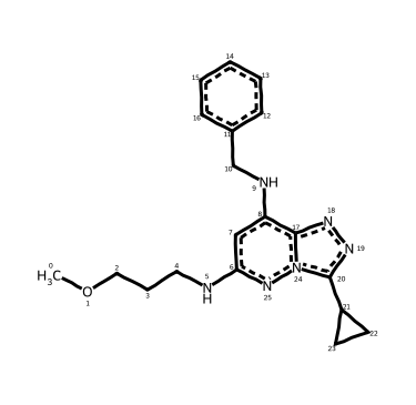 COCCCNc1cc(NCc2ccccc2)c2nnc(C3CC3)n2n1